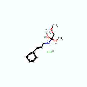 COCC(NCC=Cc1ccccc1)(OC)OC.Cl